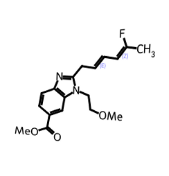 COCCn1c(C/C=C/C=C(/C)F)nc2ccc(C(=O)OC)cc21